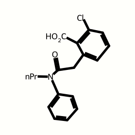 CCCN(C(=O)Cc1cccc(Cl)c1C(=O)O)c1ccccc1